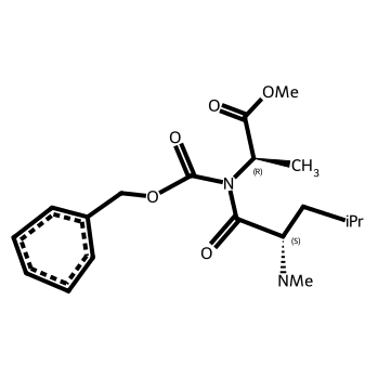 CN[C@@H](CC(C)C)C(=O)N(C(=O)OCc1ccccc1)[C@H](C)C(=O)OC